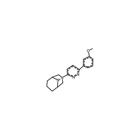 COc1cccc(-c2ccc(N3CC4CCCC(C3)N4C)nn2)c1